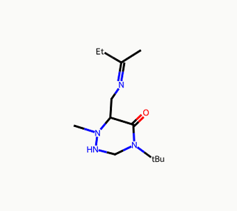 CC/C(C)=N\CC1C(=O)N(C(C)(C)C)CNN1C